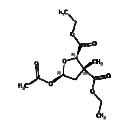 CCOC(=O)[C@@H]1O[C@H](OC(C)=O)C[C@@]1(C)C(=O)OCC